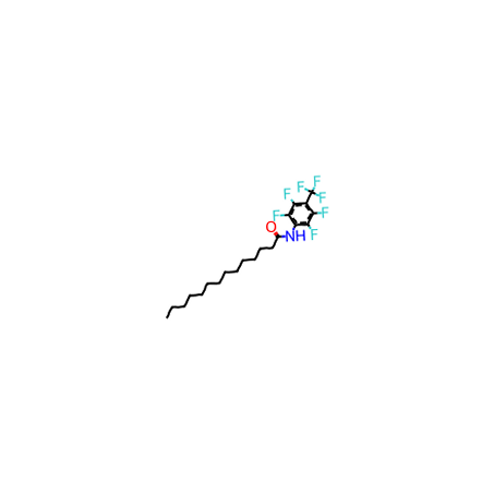 CCCCCCCCCCCCCC(=O)Nc1c(F)c(F)c(C(F)(F)F)c(F)c1F